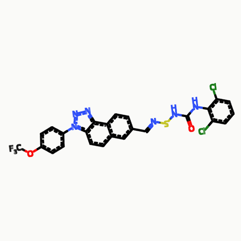 O=C(NS/N=C/c1ccc2c(ccc3c2nnn3-c2ccc(OC(F)(F)F)cc2)c1)Nc1c(Cl)cccc1Cl